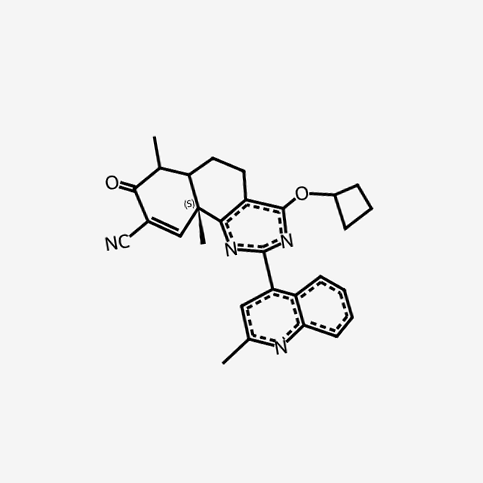 Cc1cc(-c2nc(OC3CCC3)c3c(n2)[C@]2(C)C=C(C#N)C(=O)C(C)C2CC3)c2ccccc2n1